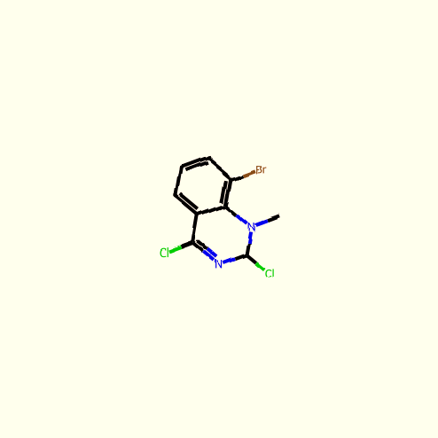 CN1c2c(Br)cccc2C(Cl)=NC1Cl